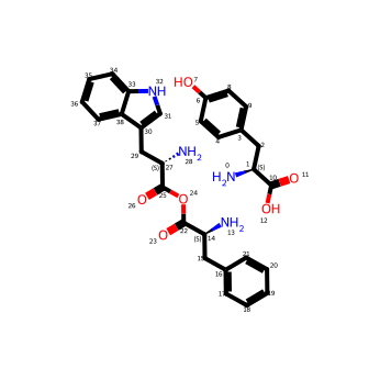 N[C@@H](Cc1ccc(O)cc1)C(=O)O.N[C@@H](Cc1ccccc1)C(=O)OC(=O)[C@@H](N)Cc1c[nH]c2ccccc12